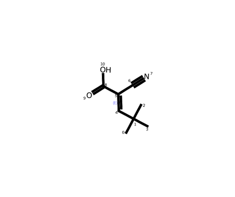 CC(C)(C)/C=C(\C#N)C(=O)O